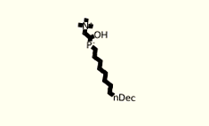 CCCCCCCCCCCCCCCCCC[P-]C(O)C[N+](C)(C)C